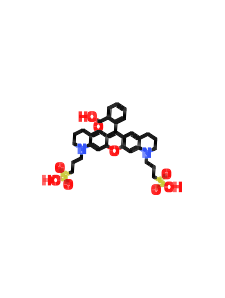 O=C(O)c1ccccc1C1=C2C=C3CCCN(CCCS(=O)(=O)O)C3=CC2Oc2cc3c(cc21)CCCN3CCCS(=O)(=O)O